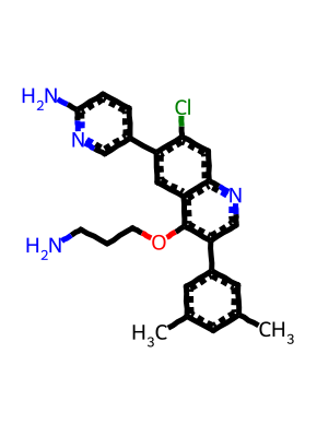 Cc1cc(C)cc(-c2cnc3cc(Cl)c(-c4ccc(N)nc4)cc3c2OCCCN)c1